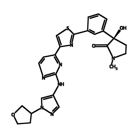 CN1CC[C@@](O)(c2cccc(-c3nc(-c4ccnc(Nc5cnn(C6CCOC6)c5)n4)cs3)c2)C1=O